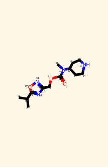 CC(C)c1nc(COC(=O)N(C)C2CCNCC2)no1